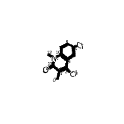 Cc1c(Cl)c2cc(Cl)ccc2n(C)c1=O